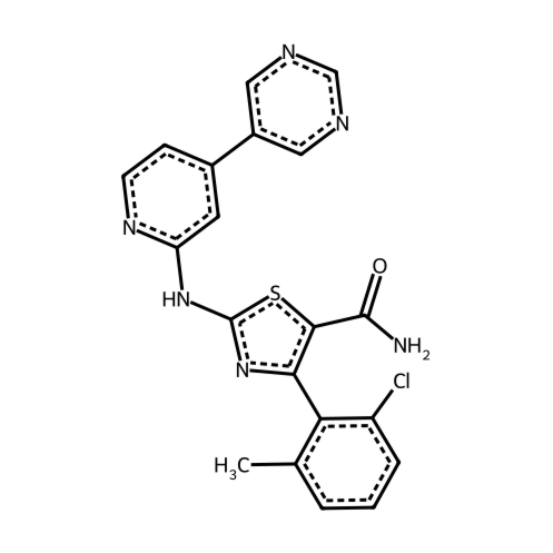 Cc1cccc(Cl)c1-c1nc(Nc2cc(-c3cncnc3)ccn2)sc1C(N)=O